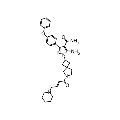 NC(=O)c1c(-c2ccc(Oc3ccccc3)cc2)nn(C2CC3(CCN(C(=O)/C=C/CN4CCCCC4)C3)C2)c1N